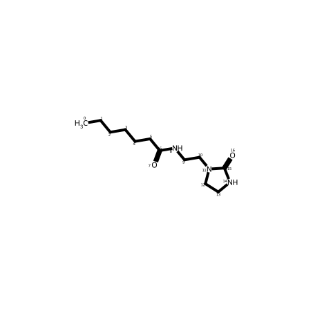 CCCCCCC(=O)NCCN1CCNC1=O